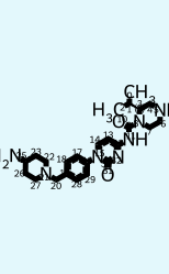 CC(C)[C@H]1CNCCN1C(=O)Nc1ccn(-c2ccc(CN3CCC(N)CC3)cc2)c(=O)n1